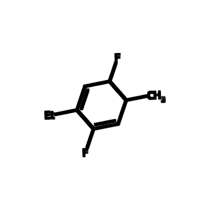 CCC1=CC(F)C(C)C=C1F